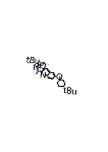 C/C(=N/[S+]([O-])C(C)(C)C)c1ccc2cc(OC3CCC(C(C)(C)C)CC3)ccc2n1